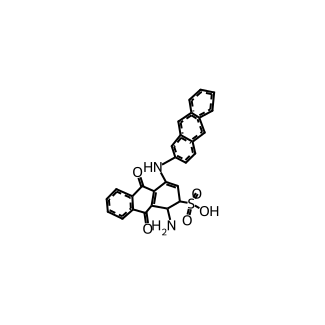 NC1C2=C(C(=O)c3ccccc3C2=O)C(Nc2ccc3cc4ccccc4cc3c2)=CC1S(=O)(=O)O